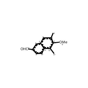 COc1c(C)cc2cc(C=O)ccc2c1C